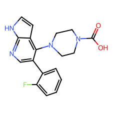 O=C(O)N1CCN(c2c(-c3ccccc3F)cnc3[nH]ccc23)CC1